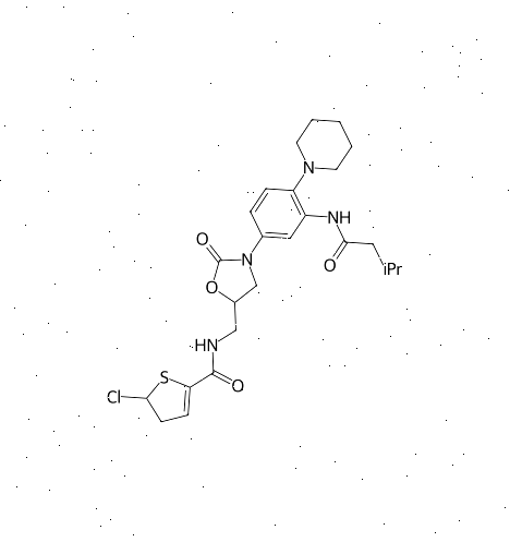 CC(C)CC(=O)Nc1cc(N2CC(CNC(=O)C3=CCC(Cl)S3)OC2=O)ccc1N1CCCCC1